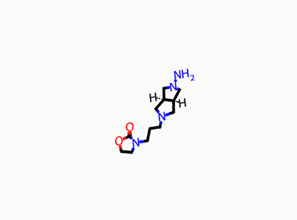 NN1C[C@@H]2CN(CCCN3CCOC3=O)C[C@@H]2C1